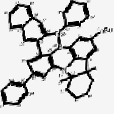 CCCCc1cc2c3c(c1)C1(C)CCCCC1(C)N3c1cc(-c3ccccc3)cc3c1B2N(c1ccccc1)c1cc2ccccc2cc1-3